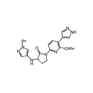 COc1nc(N2CCC(Nc3cnn(C(C)C)c3)C2=O)ccc1-c1cn[nH]c1